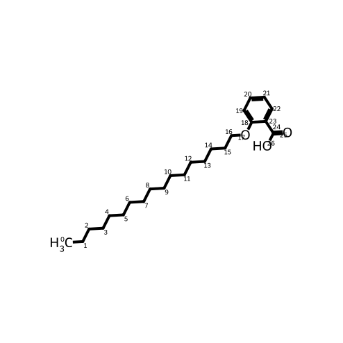 CCCCCCCCCCCCCCCCCOc1ccccc1C(=O)O